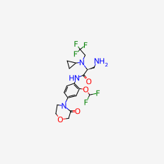 NC[C@@H](C(=O)Nc1ccc(N2CCOCC2=O)cc1OC(F)F)N(CC(F)(F)F)C1CC1